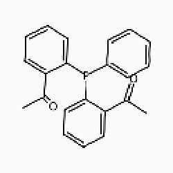 CC(=O)c1ccccc1P(c1ccccc1)c1ccccc1C(C)=O